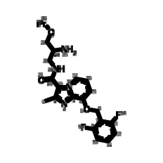 Cc1nc2c(OCc3c(F)cccc3F)cccn2c1C(=O)NCC(N)COC(C)C